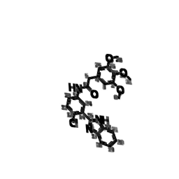 COc1cc(CC(=O)Nc2ccc(Cl)c(-c3nc4ccccc4[nH]3)c2)cc(OC)c1OC